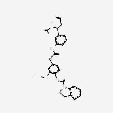 COc1cc(CC(=O)Nc2cccc(C(CC(=O)O)NC(C)=O)c2)ccc1NC(=O)N1CCc2ccccc21